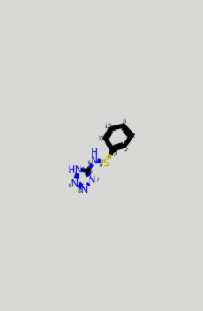 c1ccc(SNc2nnn[nH]2)cc1